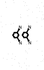 N#Cc1cccc(C#N)c1.N#Cc1cccc(C#N)c1